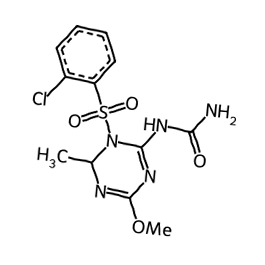 COC1=NC(C)N(S(=O)(=O)c2ccccc2Cl)C(NC(N)=O)=N1